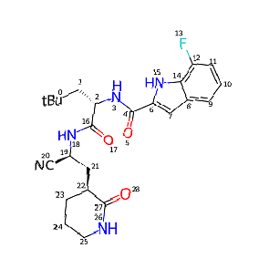 CC(C)(C)C[C@H](NC(=O)c1cc2cccc(F)c2[nH]1)C(=O)N[C@H](C#N)C[C@@H]1CCCNC1=O